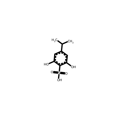 CC(C)c1cc(O)c(S(=O)(=O)O)c(O)c1